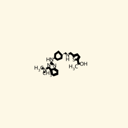 CC(O)c1ccc(CNC[C@H]2CC[C@@H](Nc3nc(N(C)C)c4ccccc4n3)CC2)s1